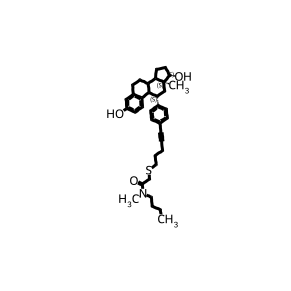 CCCCN(C)C(=O)CSCCCC#Cc1ccc([C@H]2C[C@@]3(C)C(CC[C@@H]3O)C3CCc4cc(O)ccc4C32)cc1